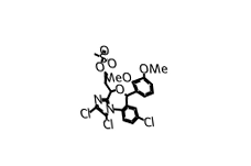 COc1cccc(C2OC(CCOS(C)(=O)=O)c3nc(Cl)c(Cl)n3-c3ccc(Cl)cc32)c1OC